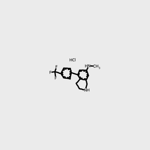 CNc1cc2c(c(-c3ccc(C(F)(F)F)cc3)c1)CCNC2.Cl